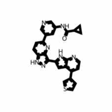 O=C(Nc1cncc(-c2ccc3[nH]nc(-c4cc5c(-c6ccsc6)ccnc5[nH]4)c3n2)c1)C1CC1